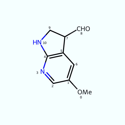 COc1cnc2c(c1)C(C=O)CN2